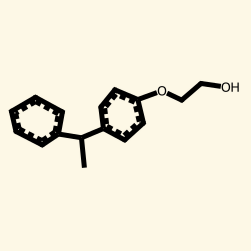 CC(c1ccccc1)c1ccc(OCCO)cc1